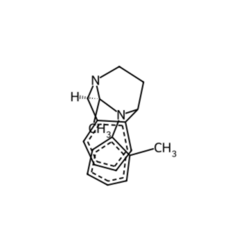 Cc1ccccc1N1C2CCN(Cc3ccccc32)[C@@H]1C